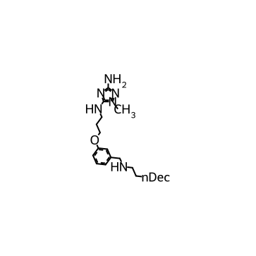 CCCCCCCCCCCCNCc1cccc(OCCCNc2nc(N)nn2C)c1